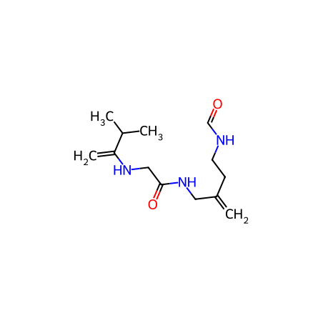 C=C(CCNC=O)CNC(=O)CNC(=C)C(C)C